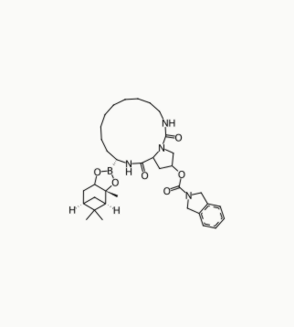 CC1(C)[C@H]2CC3OB([C@@H]4CCCCCCCCCNC(=O)N5CC(OC(=O)N6Cc7ccccc7C6)CC5C(=O)N4)O[C@]3(C)[C@@H]1C2